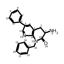 NC1Cc2cc(-c3ccccc3)cnc2N(Cc2ccccc2)C1=O